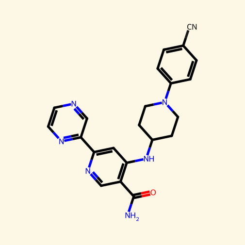 N#Cc1ccc(N2CCC(Nc3cc(-c4cnccn4)ncc3C(N)=O)CC2)cc1